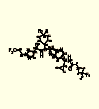 O=C(CC1CC(F)(F)C1)N[C@@H](c1cnn2cc([C@@H](NC(=O)c3cnn(CCC(F)(F)F)c3)C3CCC(F)(F)CC3)nc2c1)C1CC1